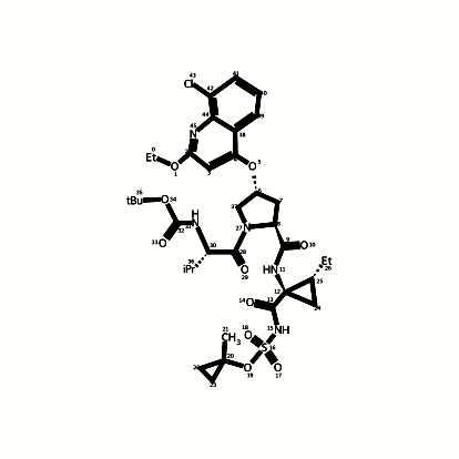 CCOc1cc(O[C@@H]2C[C@@H](C(=O)N[C@]3(C(=O)NS(=O)(=O)OC4(C)CC4)C[C@H]3CC)N(C(=O)[C@@H](NC(=O)OC(C)(C)C)C(C)C)C2)c2cccc(Cl)c2n1